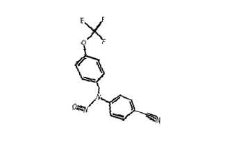 N#Cc1ccc(N(N=O)c2ccc(OC(F)(F)F)cc2)cc1